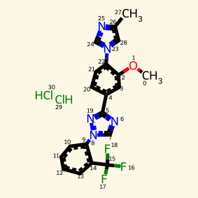 COc1cc(-c2ncn(-c3ccccc3C(F)(F)F)n2)ccc1-n1cnc(C)c1.Cl.Cl